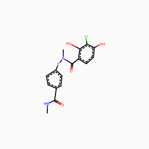 CNC(=O)c1ccc(CN(C)C(=O)c2ccc(O)c(Cl)c2O)cc1